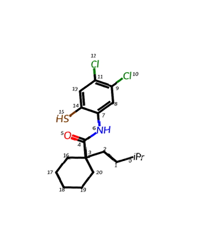 CC(C)CCC1(C(=O)Nc2cc(Cl)c(Cl)cc2S)CCCCC1